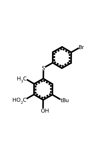 Cc1c(Sc2ccc(Br)cc2)cc(C(C)(C)C)c(O)c1C(=O)O